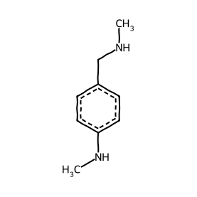 CNCc1ccc(NC)cc1